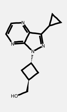 OC[C@H]1C[C@H](n2nc(C3CC3)c3nccnc32)C1